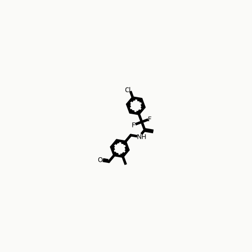 C=C(NCc1ccc(C=O)c(C)c1)C(F)(F)c1ccc(Cl)cc1